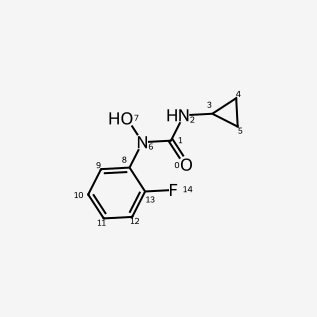 O=C(NC1CC1)N(O)c1ccccc1F